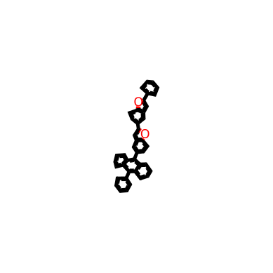 c1ccc(-c2cc3cc(-c4cc5cc(-c6c7ccccc7c(-c7ccccc7)c7ccccc67)ccc5o4)ccc3o2)cc1